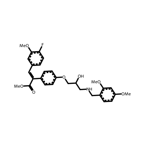 COC(=O)/C(=C/c1ccc(F)c(OC)c1)c1ccc(OCC(O)CNCc2ccc(OC)cc2OC)cc1